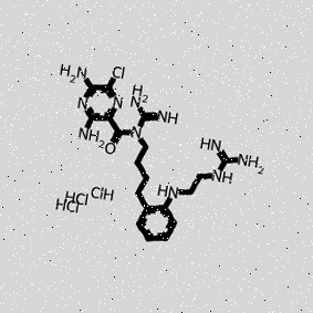 Cl.Cl.Cl.N=C(N)NCCNc1ccccc1CCCCN(C(=N)N)C(=O)c1nc(Cl)c(N)nc1N